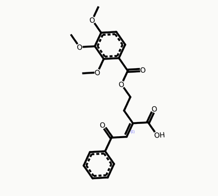 COc1ccc(C(=O)OCC/C(=C\C(=O)c2ccccc2)C(=O)O)c(OC)c1OC